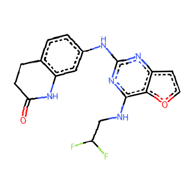 O=C1CCc2ccc(Nc3nc(NCC(F)F)c4occc4n3)cc2N1